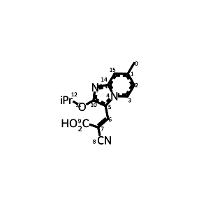 Cc1ccn2c(C=C(C#N)C(=O)O)c(OC(C)C)nc2c1